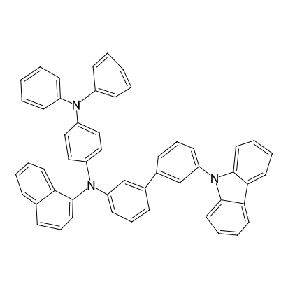 c1ccc(N(c2ccccc2)c2ccc(N(c3cccc(-c4cccc(-n5c6ccccc6c6ccccc65)c4)c3)c3cccc4ccccc34)cc2)cc1